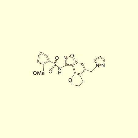 COc1ccccc1S(=O)(=O)Nc1noc2cc(Cn3cccn3)c3c(c12)OCCC3